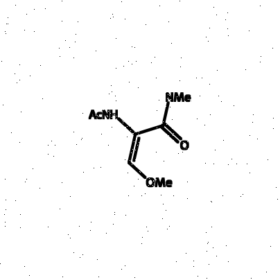 CNC(=O)/C(=C\OC)NC(C)=O